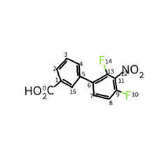 O=C(O)c1cccc(-c2ccc(F)c([N+](=O)[O-])c2F)c1